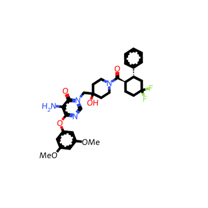 COc1cc(OC)cc(Oc2ncn(CC3(O)CCN(C(=O)[C@@H]4CCC(F)(F)C[C@H]4c4ccccc4)CC3)c(=O)c2N)c1